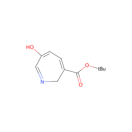 CC(C)(C)OC(=O)C1=CC=C(O)C=NC1